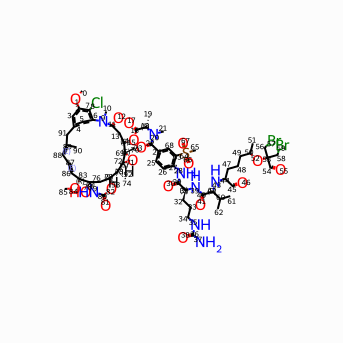 COc1cc2cc(c1Cl)N(C)C(=O)C[C@H](OC(=O)[C@H](C)N(C)C(=O)c1ccc(NC(=O)[C@H](CCCNC(N)=O)NC(=O)[C@@H](NC(C=O)CCCC(C)OC(C=O)(CBr)CBr)C(C)C)c(S(C)(=O)=O)c1)[C@]1(C)O[C@H]1[C@H](C)[C@@H]1C[C@@](O)(NC(=O)O1)[C@H](OC)/C=C/C=C(\C)C2